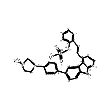 CN1CCN(c2ccc(-c3ccc4[nH]c5nccc(C=Cc6ccccc6NS(C)(=O)=O)c5c4c3)cc2)CC1